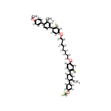 COc1ccc(-c2ccc(-c3ccc(OCCCCCCCCCOc4ccc(-c5ccc(-c6ccc(OC(F)(F)F)cc6)c(C)c5)c(F)c4)cc3F)cc2C)cc1